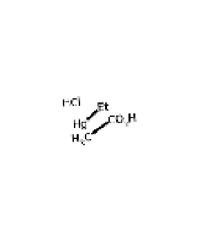 CC(=O)O.C[CH2][Hg].Cl